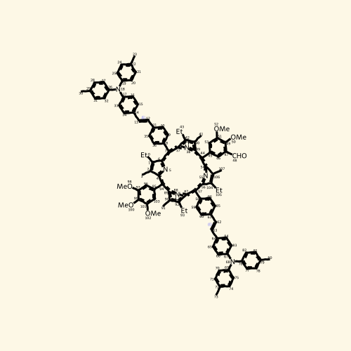 CCC1=C(C)c2nc1c(-c1ccc(/C=C/c3ccc(N(c4ccc(C)cc4)c4ccc(C)cc4)cc3)cc1)c1[nH]c(c(C)c1CC)c(-c1cc(C=O)c(OC)c(OC)c1)c1nc(c(-c3ccc(/C=C/c4ccc(N(c5ccc(C)cc5)c5ccc(C)cc5)cc4)cc3)c3[nH]c(c(C)c3CC)c2-c2cc(OC)c(OC)c(OC)c2)C(CC)=C1C